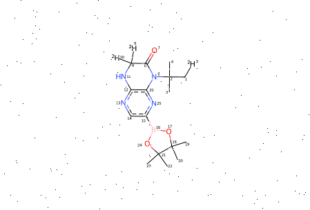 [2H]CC(C)(C)N1C(=O)C([2H])([2H])Nc2ncc(B3OC(C)(C)C(C)(C)O3)nc21